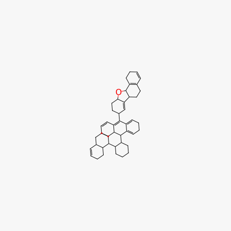 C1=CC2=C(CC1)C1OC3CCC(C4=C5C=CCCC5C(C5CCCCC5C5CCCC6C=CCCC65)C5=CCCC=C54)C=C3C1CC2